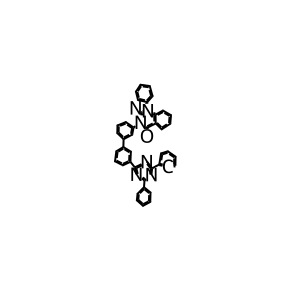 O=c1c2ccccc2n2c3ccccc3nc2n1-c1cccc(-c2cccc(-c3nc(-c4ccccc4)nc(-c4ccccc4)n3)c2)c1